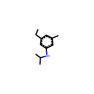 CCc1cc(C)cc(NC(C)C)c1